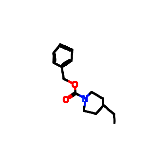 CCC1CCN(C(=O)OCc2ccccc2)CC1